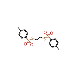 Cc1ccc(S(=O)(=O)SCCSS(=O)(=O)c2ccc(C)cc2)cc1